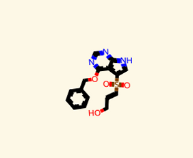 O=S(=O)(C=CCO)c1c[nH]c2ncnc(OCc3ccccc3)c12